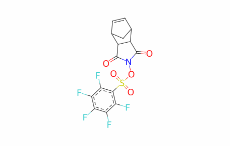 O=C1C2C3C=CC(C3)C2C(=O)N1OS(=O)(=O)c1c(F)c(F)c(F)c(F)c1F